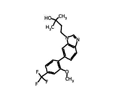 COc1cc(C(F)(F)F)ccc1-c1ccc2ncn(CCC(C)(C)O)c2c1